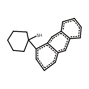 SC1(c2cccc3cc4ccccc4cc23)CCCCC1